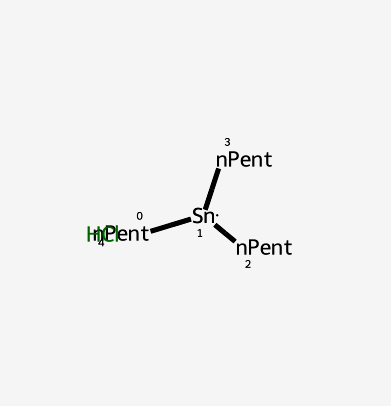 CCCC[CH2][Sn]([CH2]CCCC)[CH2]CCCC.Cl